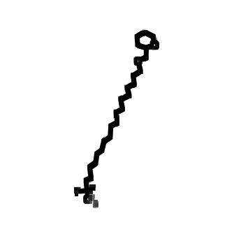 FC(F)(F)C(F)(F)CCCCCCCCCCCCCCCCCCOCC1CCCCO1